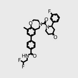 Cc1cc(-c2ccc(C(=O)NCC(F)F)cc2)cc2c1OCCN(C(=O)N1CCC(=O)CC1c1cccc(F)c1)C2